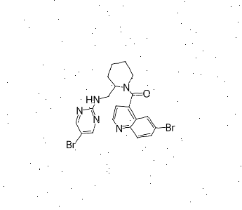 O=C(c1ccnc2ccc(Br)cc12)N1CCCCC1CNc1ncc(Br)cn1